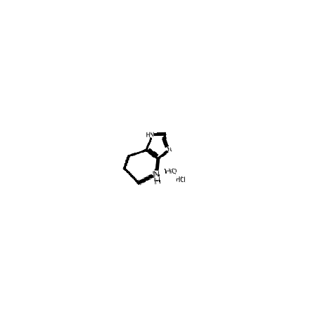 Cl.Cl.c1nc2c([nH]1)CCCN2